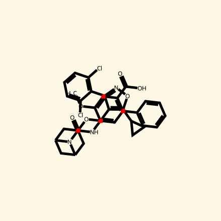 COc1cc(C(=O)O)c(-c2ccccc2)cc1NC(=O)N1C2CC(OCc3c(-c4c(Cl)cccc4Cl)noc3C3CC3)CC1C2